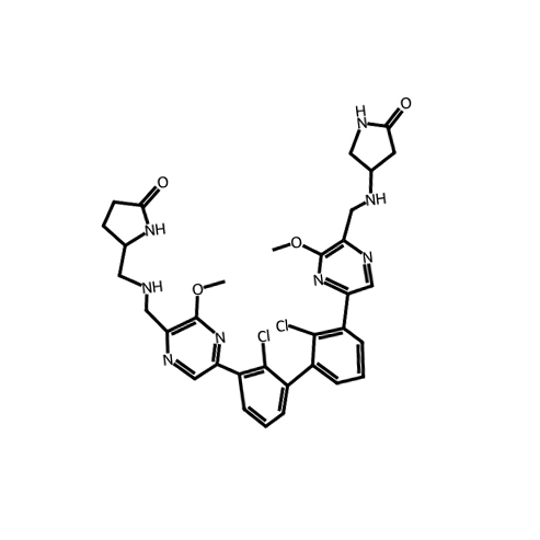 COc1nc(-c2cccc(-c3cccc(-c4cnc(CNC5CNC(=O)C5)c(OC)n4)c3Cl)c2Cl)cnc1CNCC1CCC(=O)N1